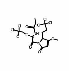 CCC(=O)N[C@H](CCC(Cl)(Cl)Cl)C(=O)N1C(=O)C=C(OC)C1CCC(Cl)(Cl)Cl